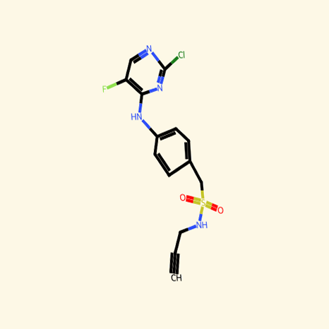 C#CCNS(=O)(=O)Cc1ccc(Nc2nc(Cl)ncc2F)cc1